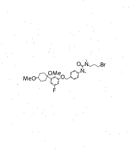 CO[C@H]1CC[C@](OC)(c2cc(F)cc(OCc3ccc(N(C)C(=O)N(C)CCCBr)cc3)c2)CC1